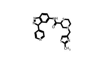 Cc1nc(CN2CCSC(C(=O)Nc3ccc4c(c3)C(c3ccncc3)N=N4)C2)cs1